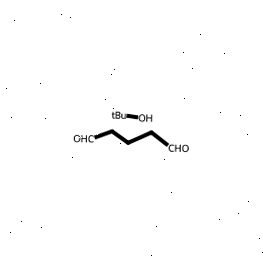 CC(C)(C)O.O=CCCCC=O